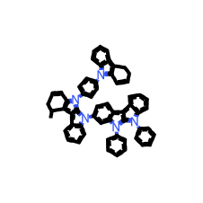 CC1CC=Cc2c1c1c3ccccc3n(-c3ccc4c5c6ccccc6n(-c6ccccc6)c5n(-c5ccccc5)c4c3)c1n2-c1ccc(-n2c3c(c4ccccc42)CCC=C3)cc1